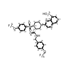 O=C(O)c1cncc2ncc(N3CCN(S(=O)(=O)c4ccc(OC(F)(F)F)cc4)[C@@H](C(=O)NCc4ccc(OC(F)(F)F)cc4)C3)nc12